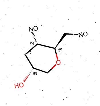 O=NC[C@H]1OC[C@H](O)C[C@@H]1N=O